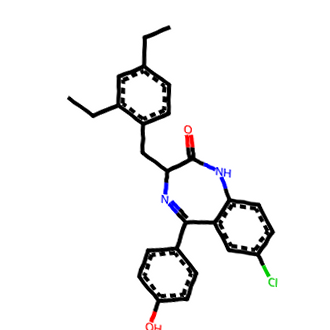 CCc1ccc(CC2N=C(c3ccc(O)cc3)c3cc(Cl)ccc3NC2=O)c(CC)c1